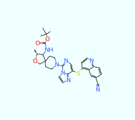 C[C@@H]1OCC2(CCN(c3ncc(Sc4ccnc5ccc(C#N)cc45)c4nccn34)CC2)[C@@H]1NC(=O)OC(C)(C)C